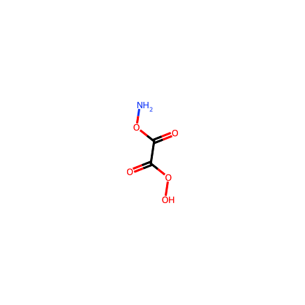 NOC(=O)C(=O)OO